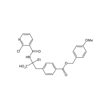 CCC(Cc1ccc(C(=O)OCc2ccc(OC)cc2)cc1)(NC(=O)c1cccnc1Cl)C(=O)O